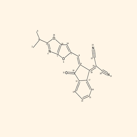 CC(C)c1nc2oc(/C=C3\C(=O)c4ccccc4C3=C(C#N)C#N)cc2o1